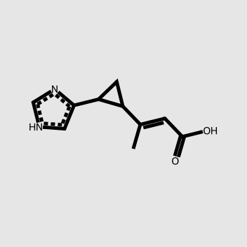 C/C(=C\C(=O)O)C1CC1c1c[nH]cn1